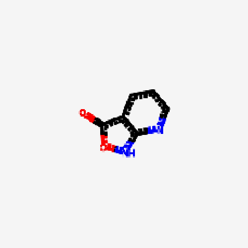 O=c1o[nH]c2ncccc12